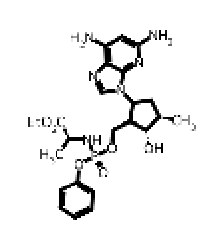 CCOC(=O)[C@H](C)NP(=O)(OCC1C(n2cnc3c(N)cc(N)nc32)C[C@@H](C)[C@@H]1O)Oc1ccccc1